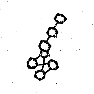 c1ccc(-c2ccc(-c3ccc4c(c3)nc3n4-c4ccccc4C34c3ccccc3-c3ccccc34)nc2)cc1